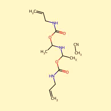 C=CCNC(=O)OC(C)NC(C)OC(=O)NCC=C.CC#N